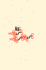 O=C([O-])CCC(=O)OS(=O)(=O)O.O=C([O-])CCC(=O)OS(=O)(=O)O.O=C([O-])CCC(=O)OS(=O)(=O)O.[Na+].[Na+].[Na+]